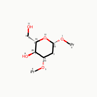 CC(C)O[C@@H]1C[C@H](OC(C)C)[C@@H](O)[C@H](CO)O1